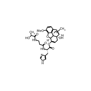 COc1ccc2c3c1O[C@@H]1C(OC(=O)[C@H](Cc4c[nH]cn4)NC(=O)CCNC(=O)[C@H](C)O)=CC[C@]4(O)[C@H](C2)N(C)CC[C@@]314